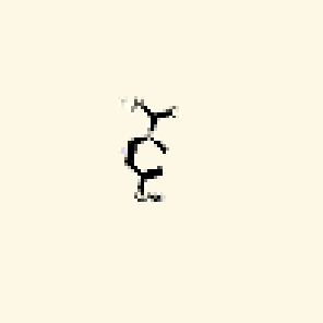 C=C(/C=C\N(C)C(N)Cl)OC